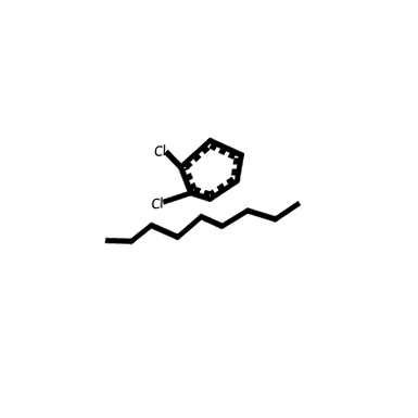 CCCCCCCCC.Clc1ccccc1Cl